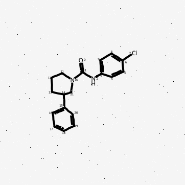 O=C(Nc1ccc(Cl)cc1)N1CCCC(c2ccccc2)C1